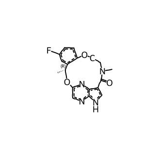 C[C@H]1Oc2cnc3[nH]cc(c3n2)C(=O)N(C)CCOc2ccc(F)cc21